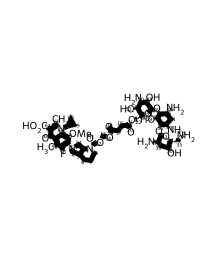 COc1c(N2CC3CCCN(C(=O)OCOC(=O)CCC(=O)OC[C@H]4O[C@H](O[C@@H]5[C@@H](O)[C@H](O[C@H]6O[C@H](CN)[C@@H](O)C[C@H]6N)[C@H](N)C[C@H]5N)[C@H](O)[C@@H](N)[C@@H]4O)C3C2)c(F)c(C)c2c(=O)c(C(=O)O)c(C)n(C3CC3)c12